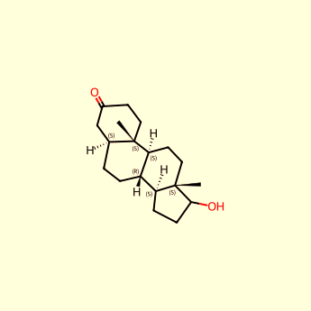 C[C@]12CCC(=O)C[C@@H]1CC[C@@H]1[C@@H]2CC[C@]2(C)C(O)CC[C@@H]12